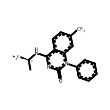 C[C@H](Nc1nc(=O)n(-c2ccccc2)c2cc(C(F)(F)F)ccc12)C(F)(F)F